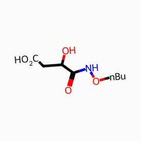 CCCCONC(=O)C(O)CC(=O)O